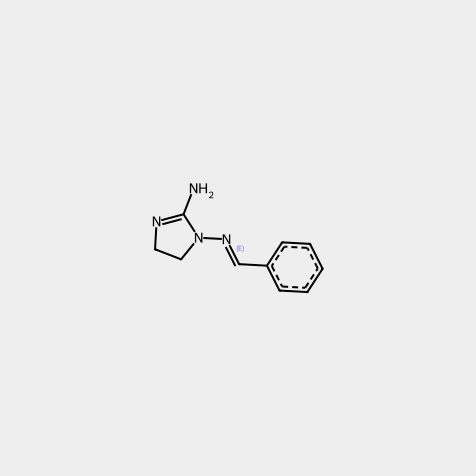 NC1=NCCN1/N=C/c1ccccc1